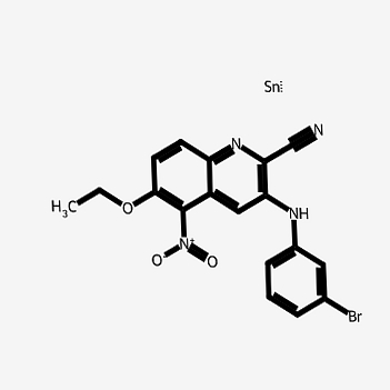 CCOc1ccc2nc(C#N)c(Nc3cccc(Br)c3)cc2c1[N+](=O)[O-].[Sn]